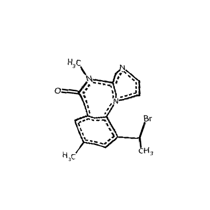 Cc1cc(C(C)Br)c2c(c1)c(=O)n(C)c1nccn21